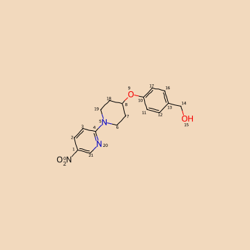 O=[N+]([O-])c1ccc(N2CCC(Oc3ccc(CO)cc3)CC2)nc1